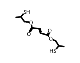 CC(S)COC(=O)C=CC(=O)OCC(C)S